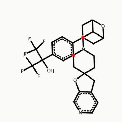 OC(c1ccc(N2CC3OC(C2)C3CN2CCC3(CC2)Cc2ccncc2O3)cc1)(C(F)(F)F)C(F)(F)F